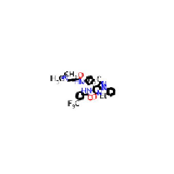 CCN1C(=O)[C@@H](NC(=O)c2cccc(C(F)(F)F)c2)[C@H](c2cccc(NC(=O)C#CCN(C)C)c2)c2c(C)nn(-c3ccccc3)c21